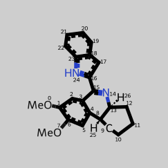 COc1cc2c(cc1OC)[C@@H]1CCCC[C@@H]1N=C2c1cc2ccccc2[nH]1